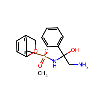 C.NCC(O)(NS(=O)(=O)c1cc2ccc1OC2)c1ccccc1